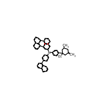 C=C1CC(C)CC(CC)(c2ccc(N(c3ccc(-c4cccc5ccccc45)cc3)c3cccc(-c4cccc5cccc(-c6ccccc6)c45)c3)cc2)C1